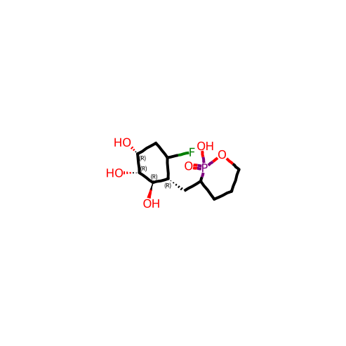 O=P1(O)OCCCC1C[C@H]1C(F)C[C@@H](O)[C@@H](O)[C@@H]1O